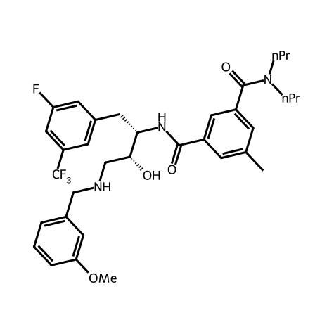 CCCN(CCC)C(=O)c1cc(C)cc(C(=O)N[C@@H](Cc2cc(F)cc(C(F)(F)F)c2)[C@H](O)CNCc2cccc(OC)c2)c1